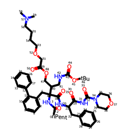 CCCCCC(=O)NC(Cc1ccccc1-c1ccccc1)(C(=O)NC(Cc1ccccc1)C(=O)NC(=O)N1CCOCC1)C(CNC(=O)OC(C)(C)C)COC(=O)COCCCCN(C)C